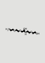 NCCOCCOCC(O)NCCOCCO